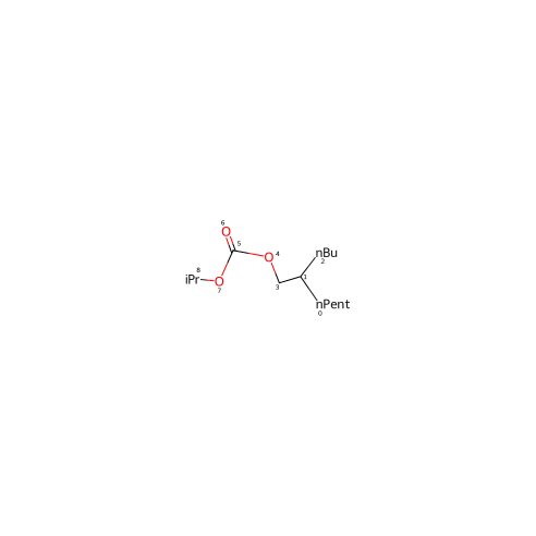 CCCCCC(CCCC)COC(=O)OC(C)C